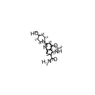 CC1Nc2c(C(N)=O)sc3nc(N4CCC(O)CC4)cc(c23)O1